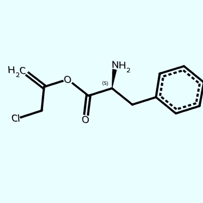 C=C(CCl)OC(=O)[C@@H](N)Cc1ccccc1